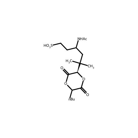 CCCCC1OC(=O)[C@@H](C(C)(C)CC(CCS(=O)(=O)O)NC(C)=O)OC1=O